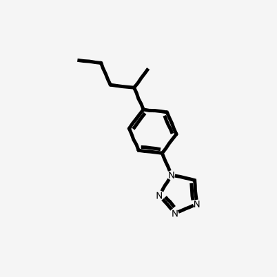 CCCC(C)c1ccc(-n2cnnn2)cc1